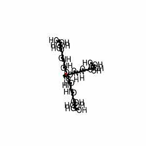 CC(CO)C(O)C(O)C(O)C(O)OCCCCC(=O)NCCCNC(=O)CCOCC(COCCC(=O)NCCCNC(=O)CCCCOC(O)C(O)C(O)C(O)C(C)CO)(COCCC(=O)NCCCNC(=O)CCCCOC1OC(CO)C(O)C(O)C1O)NC(C)(C)C